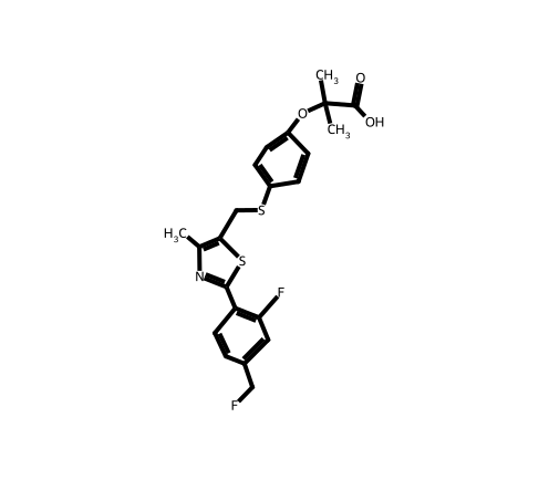 Cc1nc(-c2ccc(CF)cc2F)sc1CSc1ccc(OC(C)(C)C(=O)O)cc1